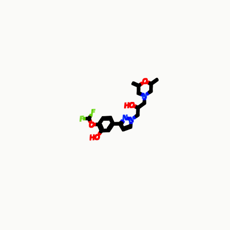 CC1CN(CC(O)Cn2ccc(-c3ccc(OC(F)F)c(O)c3)n2)CC(C)O1